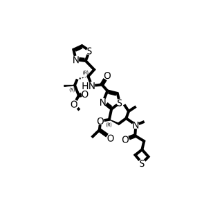 COC(=O)[C@@H](C)C[C@H](Cc1nccs1)NC(=O)c1csc([C@@H](CC(C(C)C)N(C)C(=O)CC2CSC2)OC(C)=O)n1